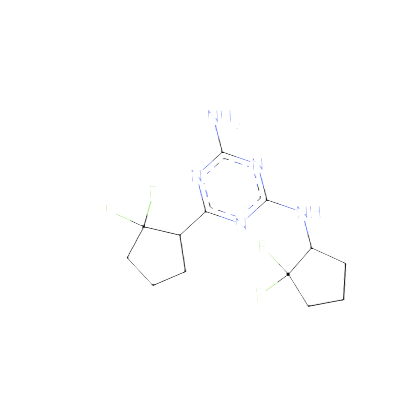 Nc1nc(NC2CCCC2(F)F)nc(C2CCCC2(F)F)n1